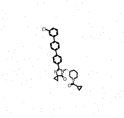 O=C(C1CC1)N1CCC[C@@H](CN2C(=O)C3(CC3)N=C2c2ccc(-c3ccc(-c4cccc(Cl)c4)cc3)cc2)C1